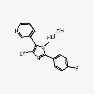 CCc1nc(-c2ccc(F)cc2)n(C)c1-c1cccnc1.Cl.Cl